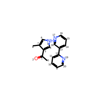 CC(=O)c1c[nH]cc1C.c1ccc(-c2cccnc2)nc1